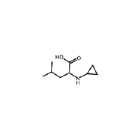 CC(C)CC(NC1CC1)C(=O)O